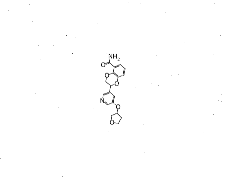 NC(=O)c1cccc2c1OCC(c1cncc(OC3CCOC3)c1)O2